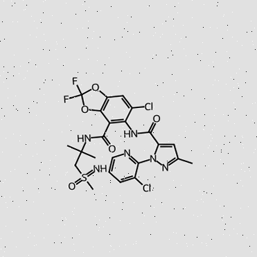 Cc1cc(C(=O)Nc2c(Cl)cc3c(c2C(=O)NC(C)(C)CS(C)(=N)=O)OC(F)(F)O3)n(-c2ncccc2Cl)n1